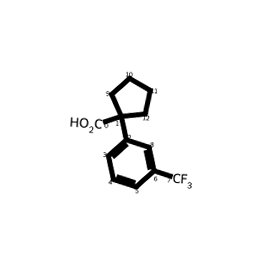 O=C(O)C1(c2cccc(C(F)(F)F)c2)CCCC1